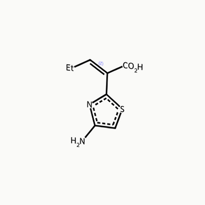 CC/C=C(/C(=O)O)c1nc(N)cs1